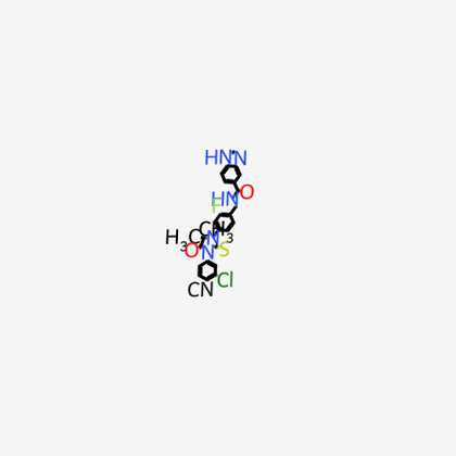 CC1(C)C(=O)N(c2ccc(C#N)c(Cl)c2)C(=S)N1c1ccc(CNC(=O)c2ccc3[nH]cnc3c2)c(F)c1